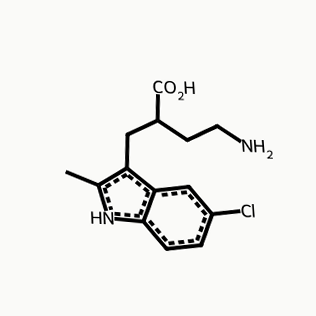 Cc1[nH]c2ccc(Cl)cc2c1CC(CCN)C(=O)O